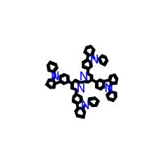 c1ccc(-n2c3ccccc3c3cc(-c4cc(-c5ccc6c7ccccc7n(-c7ccccc7)c6c5)nc(-c5cc(-c6ccc7c(c6)c6ccccc6n7-c6ccccc6)cc(-c6ccc7c8ccccc8n(-c8ccccc8)c7c6)n5)c4)ccc32)cc1